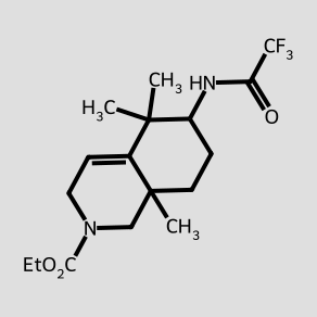 CCOC(=O)N1CC=C2C(C)(CCC(NC(=O)C(F)(F)F)C2(C)C)C1